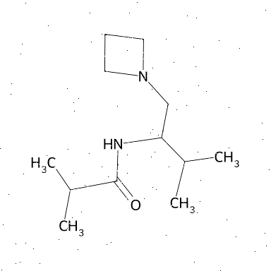 CC(C)C(=O)NC(CN1CCC1)C(C)C